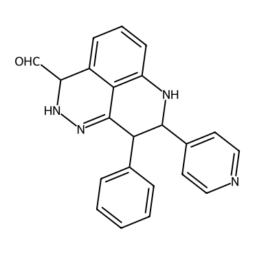 O=CC1NN=C2c3c(cccc31)NC(c1ccncc1)C2c1ccccc1